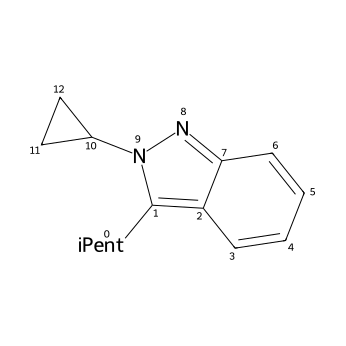 CCCC(C)c1c2ccccc2nn1C1CC1